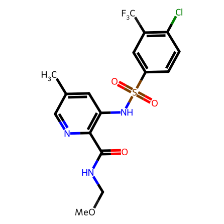 COCNC(=O)c1ncc(C)cc1NS(=O)(=O)c1ccc(Cl)c(C(F)(F)F)c1